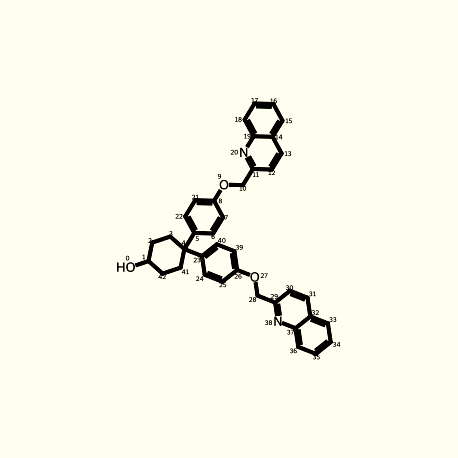 OC1CCC(c2ccc(OCc3ccc4ccccc4n3)cc2)(c2ccc(OCc3ccc4ccccc4n3)cc2)CC1